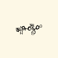 COc1ccc(C(c2nnc3cc(-c4ccnc(Nc5ccnn5C)n4)ccn23)N2CCOCC2)cc1